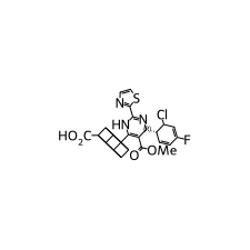 COC(=O)C1=C(C23C4C5C2C2C3C4C52C(=O)O)NC(c2nccs2)=N[C@@H]1C1C=CC(F)=CC1Cl